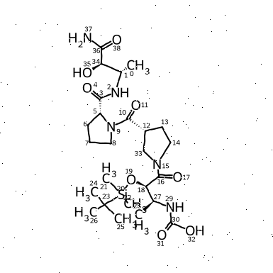 C[C@H](NC(=O)[C@H]1CCCN1C(=O)[C@@H]1CCN(C(=O)[C@H](O[Si](C)(C)C(C)(C)C)[C@H](C)NC(=O)O)C1)[C@@H](O)C(N)=O